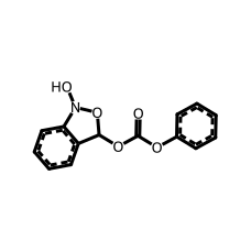 O=C(Oc1ccccc1)OC1ON(O)c2ccccc21